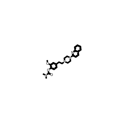 COc1cc(CCN2CCN(c3ccc4ccccc4n3)CC2)ccc1OC(=O)N(C)C